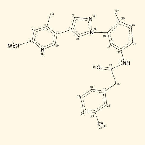 CNc1cc(C)c(-c2cnn(-c3cc(NC(=O)Cc4cccc(C(F)(F)F)c4)ccc3C)c2)cn1